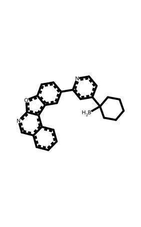 BC1(c2ccnc(-c3ccc4oc5ncc6ccccc6c5c4c3)c2)CCCCC1